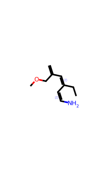 C=C(/C=C(\C=C/N)CC)COC